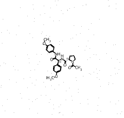 COc1ccc(NC(=O)[C@@H](NC(=O)[C@@H]2CCCN2C(C)=O)c2ccc(OC)cc2)cc1